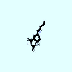 CCC/C=C/c1ccc2[nH]c(=O)[nH]c(=O)c2c1